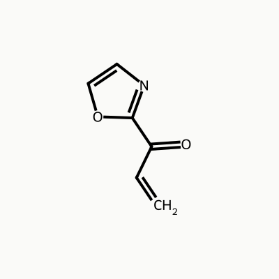 C=CC(=O)c1ncco1